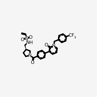 C=CS(=O)(=O)NC[C@@H]1CCN(C(=O)c2ccc(-c3cccn(Cc4ccc(C(F)(F)F)cc4)c3=O)cc2)C1